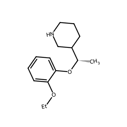 CCOc1ccccc1O[C@@H](C)C1CCCNC1